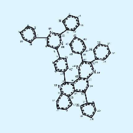 c1ccc(-c2cc(-c3ccc(-c4nc5ccccc5c5c(-c6ccccc6)cc6nc(-c7ccccc7)c(-c7ccccc7)nc6c45)cc3)nc(-c3ccccc3)n2)cc1